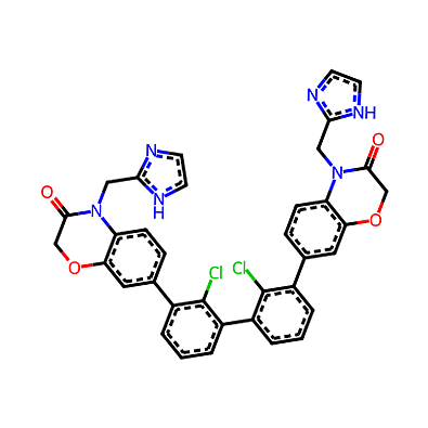 O=C1COc2cc(-c3cccc(-c4cccc(-c5ccc6c(c5)OCC(=O)N6Cc5ncc[nH]5)c4Cl)c3Cl)ccc2N1Cc1ncc[nH]1